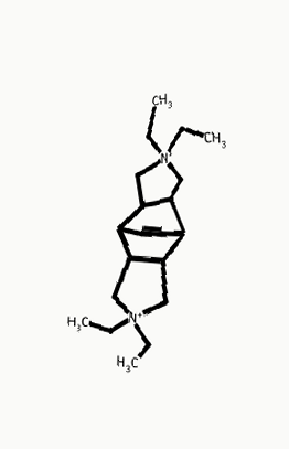 CC[N+]1(CC)CC2C3C=CC(C2C1)C1C[N+](CC)(CC)CC31